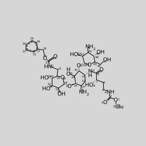 CC(C)(C)OC(=O)NCC[C@H](O)C(=O)N[C@@H]1CC(N)[C@@H](O[C@H]2OC(CNC(=O)OCc3ccccc3)[C@@H](O)[C@H](O)C2O)C(O)[C@@H]1O[C@H]1OC(CO)[C@@H](O)C(N)[C@@H]1O